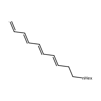 [CH]=CC=CC=CC=CCCCCCCCC